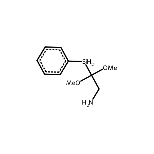 COC(CN)(OC)[SiH2]c1ccccc1